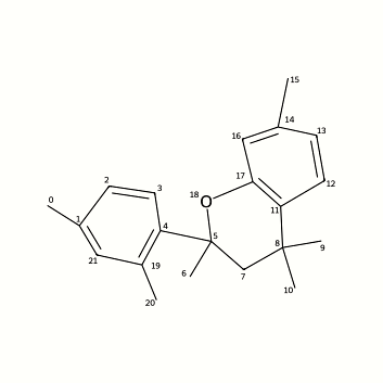 Cc1ccc(C2(C)CC(C)(C)c3ccc(C)cc3O2)c(C)c1